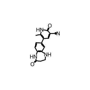 Cc1[nH]c(=O)c(C#N)cc1-c1ccc2c(c1)NCCC(=O)N2